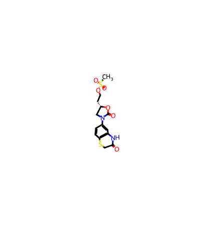 CS(=O)(=O)OCC[C@H]1CN(c2ccc3c(c2)NC(=O)CS3)C(=O)O1